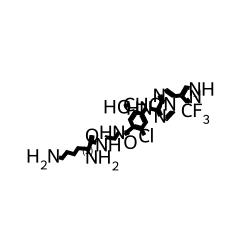 NCCCC[C@H](N)C(=O)NCCNC(=O)c1ccc(Nc2nccn3c(-c4c[nH]nc4C(F)(F)F)cnc23)cc1Cl.O=CO